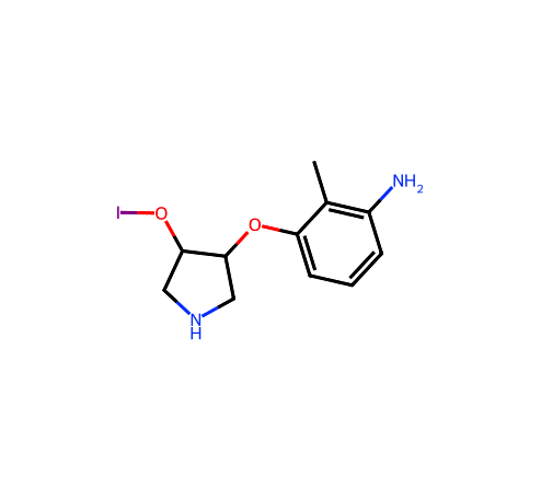 Cc1c(N)cccc1OC1CNCC1OI